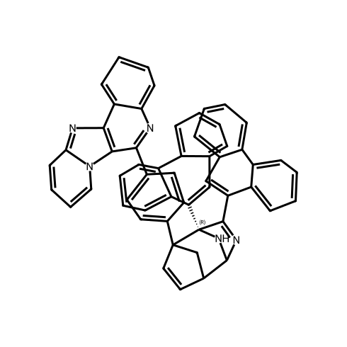 C1=CC2(c3ccc(-c4nc5ccccc5c5nc6ccccn6c45)cc3)CC1C1N=C(c3cc4ccccc4c4ccccc34)[C@@]2(c2cc3ccccc3c3ccccc23)N1